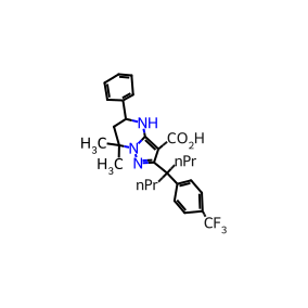 CCCC(CCC)(c1ccc(C(F)(F)F)cc1)c1nn2c(c1C(=O)O)NC(c1ccccc1)CC2(C)C